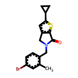 Cc1cc(Br)ccc1CN1Cc2cc(C3CC3)sc2C1=O